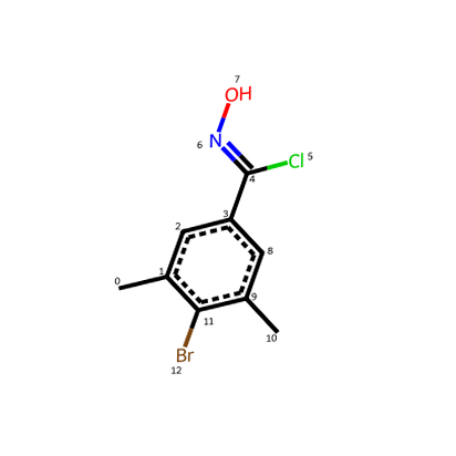 Cc1cc(/C(Cl)=N/O)cc(C)c1Br